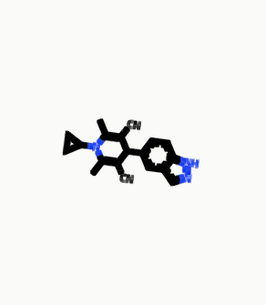 CC1=C(C#N)C(c2ccc3[nH]ncc3c2)C(C#N)=C(C)N1C1CC1